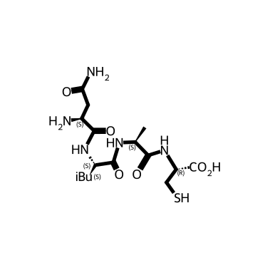 CC[C@H](C)[C@H](NC(=O)[C@@H](N)CC(N)=O)C(=O)N[C@@H](C)C(=O)N[C@@H](CS)C(=O)O